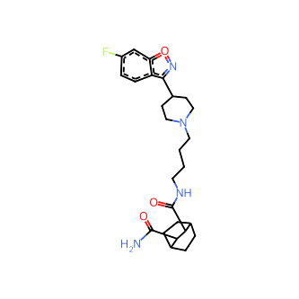 NC(=O)C1C2CCC(CC2)C1C(=O)NCCCCN1CCC(c2noc3cc(F)ccc23)CC1